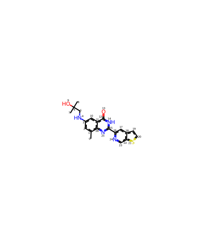 Cc1cc(NCC(C)(C)O)cc2c(=O)[nH]c(-c3cc4ccsc4cn3)nc12